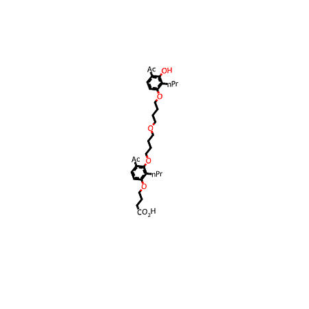 CCCc1c(OCCCCOCCCCOc2c(C(C)=O)ccc(OCCCC(=O)O)c2CCC)ccc(C(C)=O)c1O